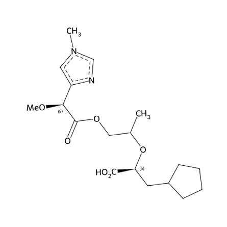 CO[C@H](C(=O)OCC(C)O[C@@H](CC1CCCC1)C(=O)O)c1cn(C)cn1